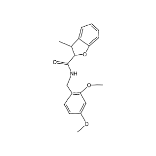 COc1ccc(CNC(=O)C2Oc3ccccc3C2C)c(OC)c1